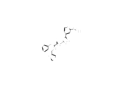 CNc1cc(-c2nnc(NC(=O)[C@H](Cc3ccccc3)NCc3cscn3)s2)ccn1